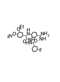 CCOc1cc(C(Nc2ccc(C(=N)N)cc2)C(=O)NNC(=O)c2cccc(F)c2)ccc1OC(C)C